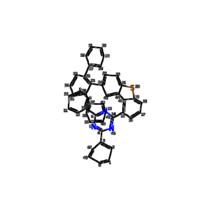 c1ccc(-c2nc(-c3ccccc3)nc(-c3cccc4sc5ccc(-c6c(-c7ccccc7)cccc6-c6ccccc6)cc5c34)n2)cc1